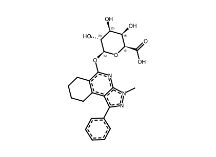 Cn1nc(-c2ccccc2)c2c3c(c(O[C@@H]4O[C@H](C(=O)O)[C@H](O)[C@H](O)[C@H]4O)nc21)CCCC3